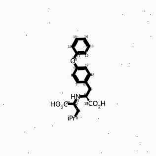 CC(C)CC(N[C@@H](Cc1ccc(Oc2ccccc2)cc1)C(=O)O)C(=O)O